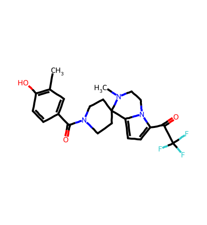 Cc1cc(C(=O)N2CCC3(CC2)c2ccc(C(=O)C(F)(F)F)n2CCN3C)ccc1O